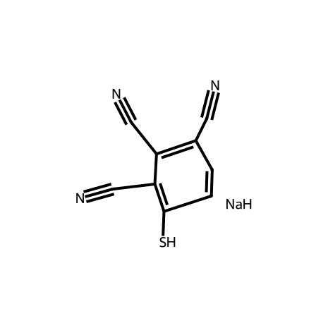 N#Cc1ccc(S)c(C#N)c1C#N.[NaH]